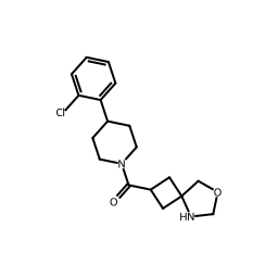 O=C(C1CC2(COCN2)C1)N1CCC(c2ccccc2Cl)CC1